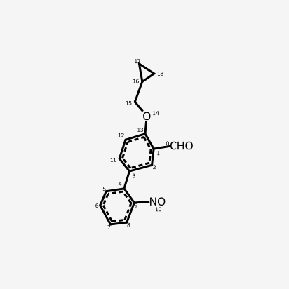 O=Cc1cc(-c2ccccc2N=O)ccc1OCC1CC1